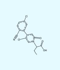 CCC(C(=O)O)n1cc(Cl)c(-c2cc(Cl)ccc2C#N)cc1=O